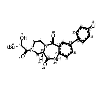 CC(C)(C)[C@H](O)C(=O)N1CCN2C(=O)c3cc(-c4ccc(Cl)cc4)ccc3NC(=O)[C@@H]2C1